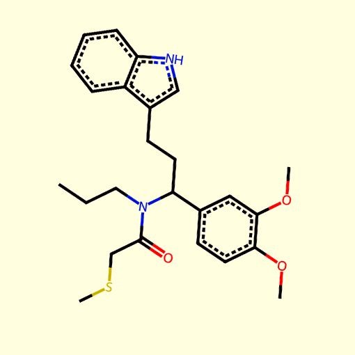 CCCN(C(=O)CSC)C(CCc1c[nH]c2ccccc12)c1ccc(OC)c(OC)c1